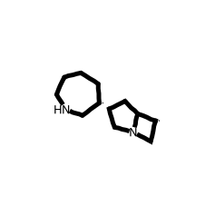 [CH]1CCCCNC1.[CH]1CN2CCCC12